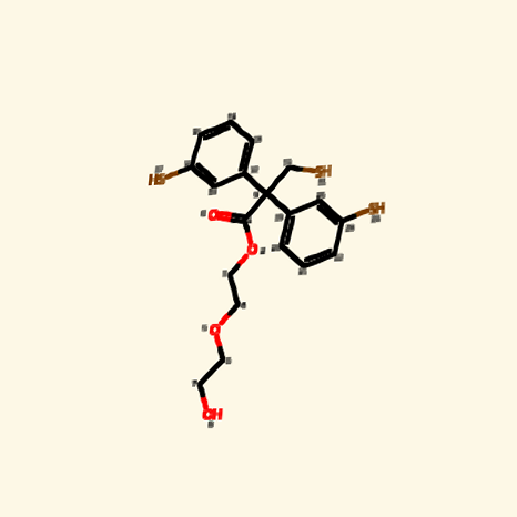 O=C(OCCOCCO)C(CS)(c1cccc(S)c1)c1cccc(S)c1